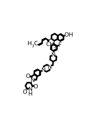 C=C(/C=C\C=C/C)[C@H]1CCc2cc(O)ccc2[C@H]1c1ccc(N2CCC(CN3CCN(c4ccc5c(c4)CN(C4CCC(=O)NC4=O)C5=O)CC3)CC2)cc1F